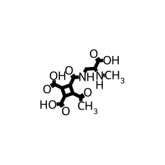 CNC(CNC(=O)C1C(C(C)=O)C(C(=O)O)C1C(=O)O)C(=O)O